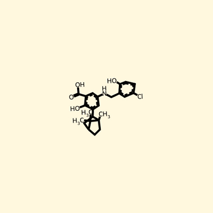 CC1(C)C2CCC1(C)C(c1cc(NCc3cc(Cl)ccc3O)cc(C(=O)O)c1O)C2